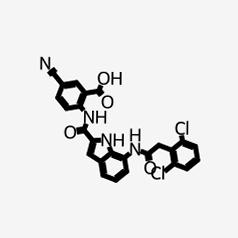 N#Cc1ccc(NC(=O)c2cc3cccc(NC(=O)Cc4c(Cl)cccc4Cl)c3[nH]2)c(C(=O)O)c1